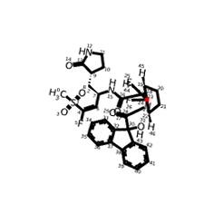 CS(=O)(=O)/C(F)=C\[C@@H](C[C@H]1CCNC1=O)NC(=O)[C@H]1[C@@H]2CC[C@@H](CC2(F)F)N1C(=O)C1(O)c2ccccc2-c2ccccc21